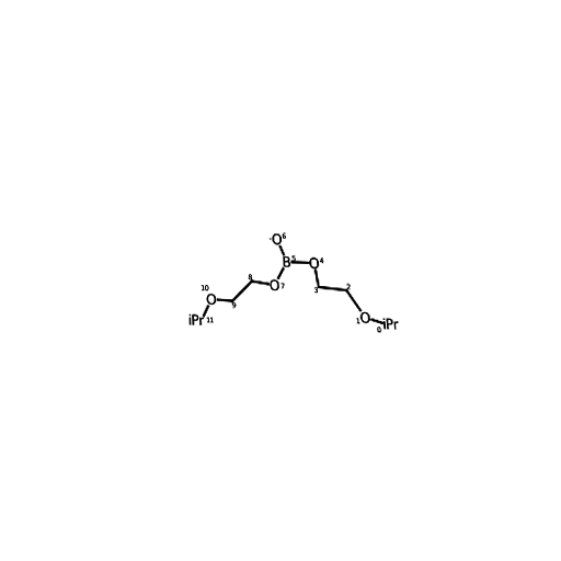 CC(C)OCCOB([O])OCCOC(C)C